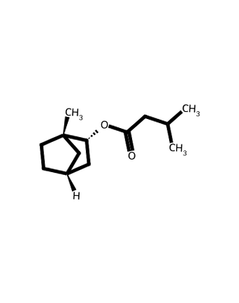 CC(C)CC(=O)O[C@@H]1C[C@@H]2CC[C@@]1(C)C2